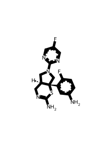 NC1=NC[C@H]2CN(c3ncc(F)cn3)C[C@]2(c2cc(N)ccc2F)S1